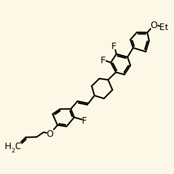 C=CCCOc1ccc(/C=C/C2CCC(c3ccc(-c4ccc(OCC)cc4)c(F)c3F)CC2)c(F)c1